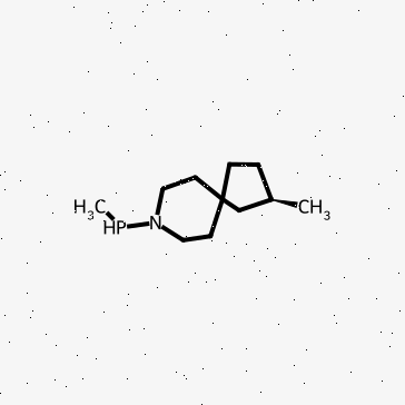 CPN1CCC2(CC[C@@H](C)C2)CC1